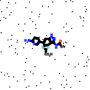 CCCC(=O)Nc1n[nH]c2cc(-c3ccc(N)nc3)ccc12.O=C(O)C(F)F